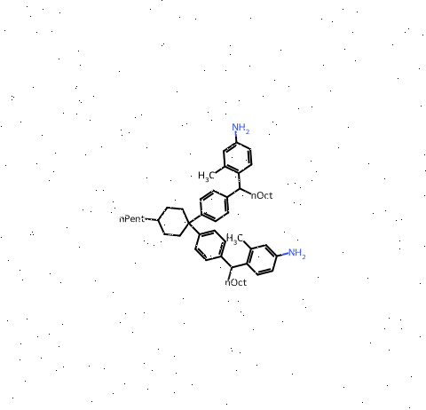 CCCCCCCCC(c1ccc(C2(c3ccc(C(CCCCCCCC)c4ccc(N)cc4C)cc3)CCC(CCCCC)CC2)cc1)c1ccc(N)cc1C